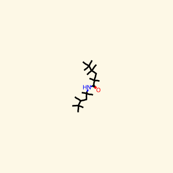 CC(CC(C)(C)NC(=O)C(C)(C)CC(C)(C)C(C)(C)C)C(C)(C)C